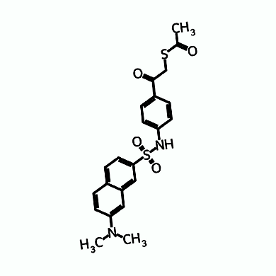 CC(=O)SCC(=O)c1ccc(NS(=O)(=O)c2ccc3ccc(N(C)C)cc3c2)cc1